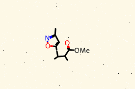 COC(=O)C(C)C(C)c1cc(C)no1